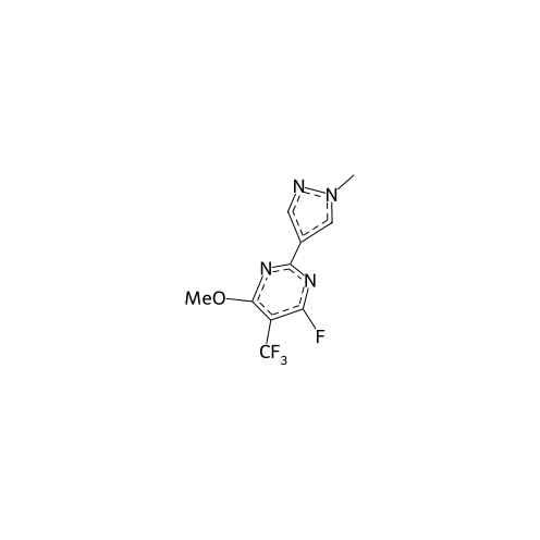 COc1nc(-c2cnn(C)c2)nc(F)c1C(F)(F)F